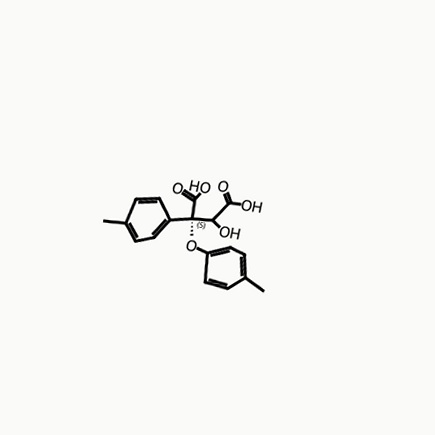 Cc1ccc(O[C@@](C(=O)O)(c2ccc(C)cc2)C(O)C(=O)O)cc1